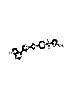 Cn1ccc(S(=O)(=O)N2CCC(N3C[C](n4cc(-c5ncnc6[nH]ccc56)cn4)C3)CC2)n1